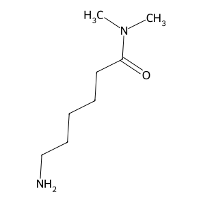 CN(C)C(=O)CCCCCN